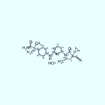 C[C@@H]1C[C@@](C#N)(C2CC2)C(=O)N1c1ccnc(Nc2ccc(C(C)(C)C(N)=O)cc2)n1.Cl